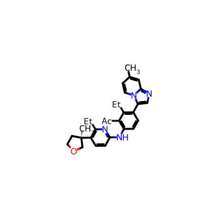 CCc1nc(Nc2ccc(-c3cnc4cc(C)ccn34)c(CC)c2C(C)=O)ccc1[C@]1(C)CCOC1